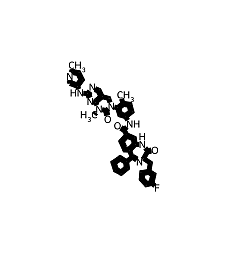 Cc1ccc(Nc2ncc3c(n2)N(C)C(=O)N(c2cc(NC(=O)c4ccc5c(c4)NC(=O)C(Cc4cccc(F)c4)N=C5c4ccccc4)ccc2C)C3)cn1